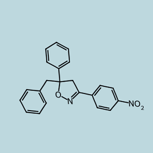 O=[N+]([O-])c1ccc(C2=NOC(Cc3ccccc3)(c3ccccc3)C2)cc1